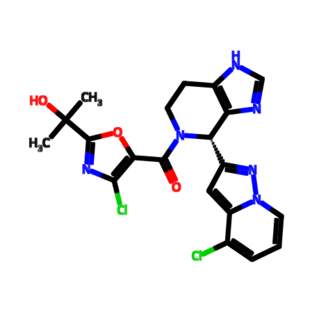 CC(C)(O)c1nc(Cl)c(C(=O)N2CCc3[nH]cnc3[C@@H]2c2cc3c(Cl)cccn3n2)o1